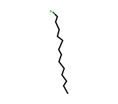 CCCCCC[CH]CCCCCCBr